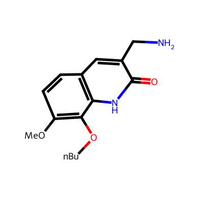 CCCCOc1c(OC)ccc2cc(CN)c(=O)[nH]c12